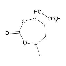 CC1CCCOC(=O)O1.O=C(O)O